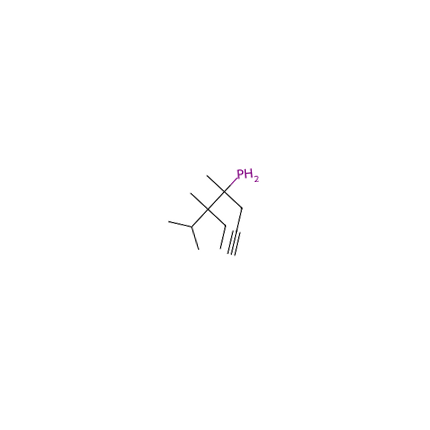 C#CCC(C)(P)C(C)(CC)C(C)C